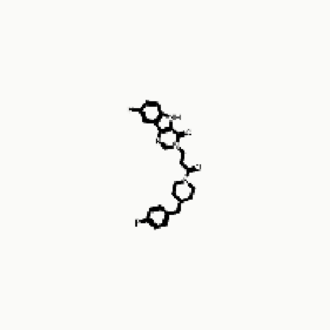 O=C(CCn1cnc2c([nH]c3ccc(F)cc32)c1=O)N1CCC(Cc2ccc(F)cc2)CC1